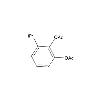 CC(=O)Oc1cccc(C(C)C)c1OC(C)=O